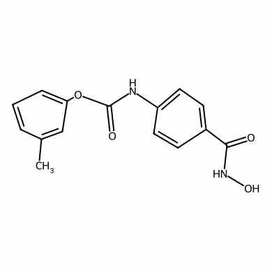 Cc1cccc(OC(=O)Nc2ccc(C(=O)NO)cc2)c1